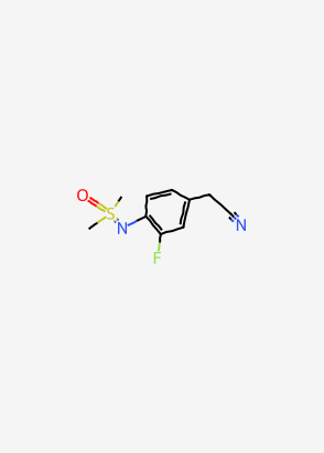 CS(C)(=O)=Nc1ccc(CC#N)cc1F